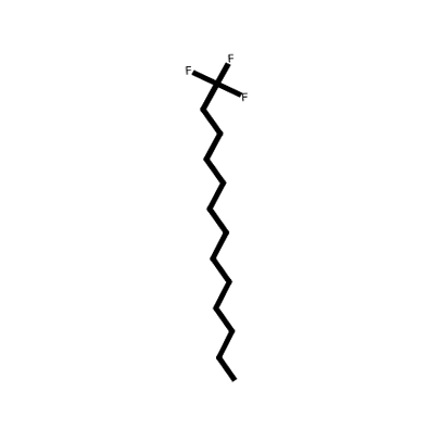 CCCCCCCCCCCCC(F)(F)F